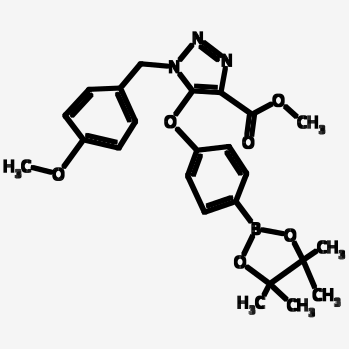 COC(=O)c1nnn(Cc2ccc(OC)cc2)c1Oc1ccc(B2OC(C)(C)C(C)(C)O2)cc1